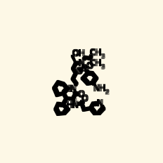 CC(C)CN([C@H](CO)CCCCNC(=O)[C@@H](NC(=O)Cc1cccnc1)C(c1ccccc1)c1ccccc1)S(=O)(=O)c1ccc(N)cc1